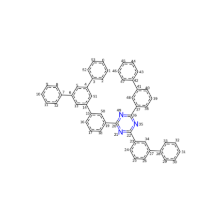 c1ccc(-c2cc(-c3ccccc3)cc(-c3cccc(-c4nc(-c5cccc(-c6ccccc6)c5)nc(-c5cccc(-c6ccccc6)c5)n4)c3)c2)cc1